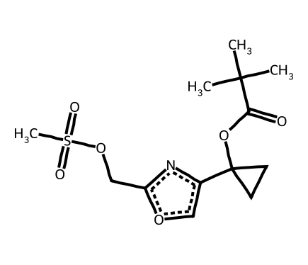 CC(C)(C)C(=O)OC1(c2coc(COS(C)(=O)=O)n2)CC1